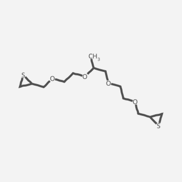 CC(COCCOCC1CS1)OCCOCC1CS1